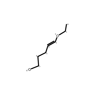 CCO/C=C/CCC[O]